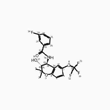 CC1(C)Oc2ccc(OC(F)(F)F)cc2[C@H](NC(=O)c2cccc(F)c2)[C@H]1O